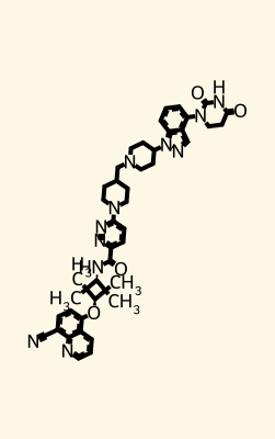 CC1(C)[C@H](NC(=O)c2ccc(N3CCC(CN4CCC(n5ncc6c(N7CCC(=O)NC7=O)cccc65)CC4)CC3)nn2)C(C)(C)[C@H]1Oc1ccc(C#N)c2ncccc12